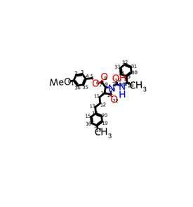 COc1ccc(COC(=O)C2C(CCCc3ccc(C)cc3)C(=O)N2C(O)NC(C)c2ccccc2)cc1